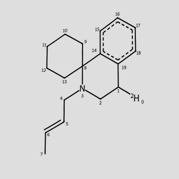 [2H]C1CN(CC=CC)C2(CCCCC2)c2ccccc21